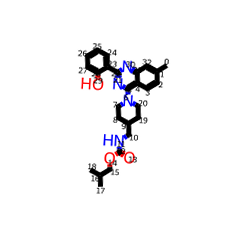 Cc1ccc2c(N3CCC(CNC(=O)OCC(C)C)CC3)nc(-c3ccccc3O)nc2c1